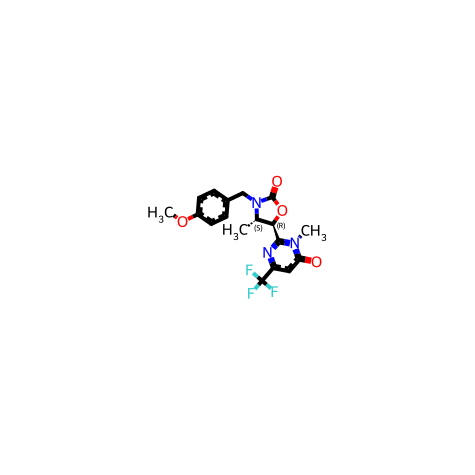 COc1ccc(CN2C(=O)O[C@@H](c3nc(C(F)(F)F)cc(=O)n3C)[C@@H]2C)cc1